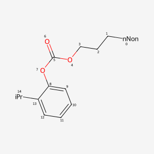 CCCCCCCCCCCCOC(=O)Oc1ccccc1C(C)C